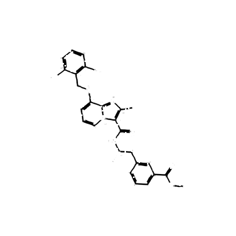 COC(=O)c1cccc(C[C@H](C)NC(=O)c2c(C)nc3c(OCc4c(F)cccc4F)cccn23)c1